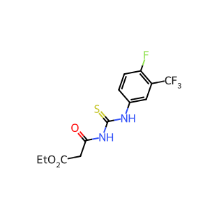 CCOC(=O)CC(=O)NC(=S)Nc1ccc(F)c(C(F)(F)F)c1